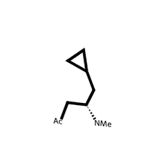 CN[C@H](CC(C)=O)CC1CC1